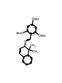 COc1cc(OC)c(C=NC2C=Cc3ccccc3C2(C)C)c(OC)c1